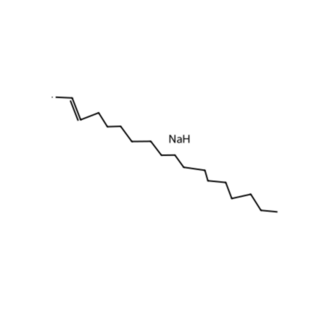 [CH2]C=CCCCCCCCCCCCCCCC.[NaH]